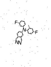 Cc1cc(F)ccc1N(c1cccc(F)c1)c1ccc2cnncc2c1